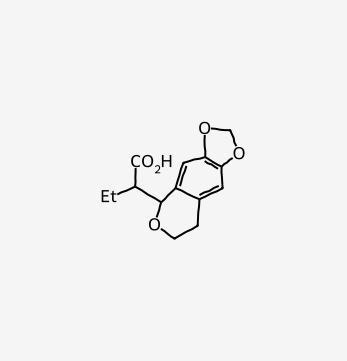 CCC(C(=O)O)C1OCCc2cc3c(cc21)OCO3